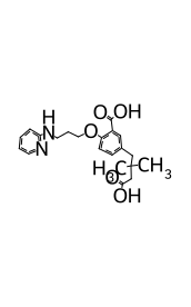 CC(C)(CC(=O)O)Cc1ccc(OCCCNc2ccccn2)c(C(=O)O)c1